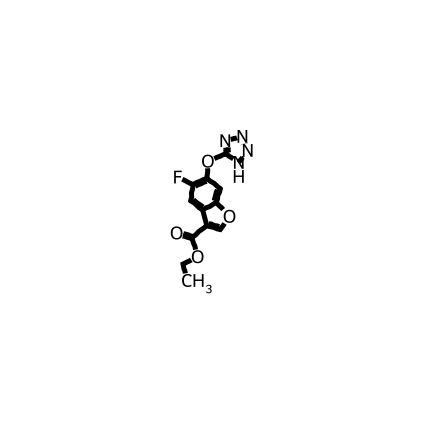 CCOC(=O)c1coc2cc(Oc3nnn[nH]3)c(F)cc12